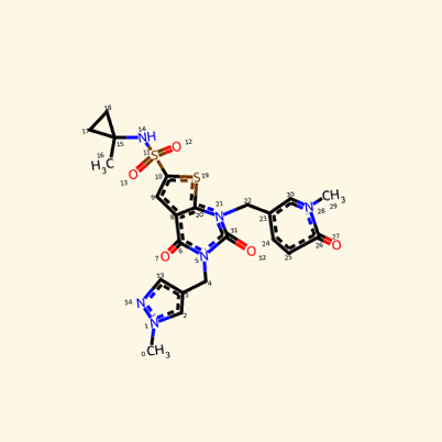 Cn1cc(Cn2c(=O)c3cc(S(=O)(=O)NC4(C)CC4)sc3n(Cc3ccc(=O)n(C)c3)c2=O)cn1